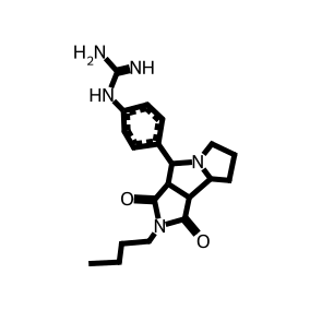 CCCCN1C(=O)C2C(C1=O)C(c1ccc(NC(=N)N)cc1)N1CCCC21